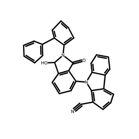 N#Cc1cccc2c3ccccc3n(-c3cccc4c3C(=O)N(c3ccccc3-c3ccccc3)C4O)c12